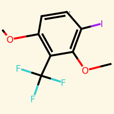 COc1c[c]c(I)c(OC)c1C(F)(F)F